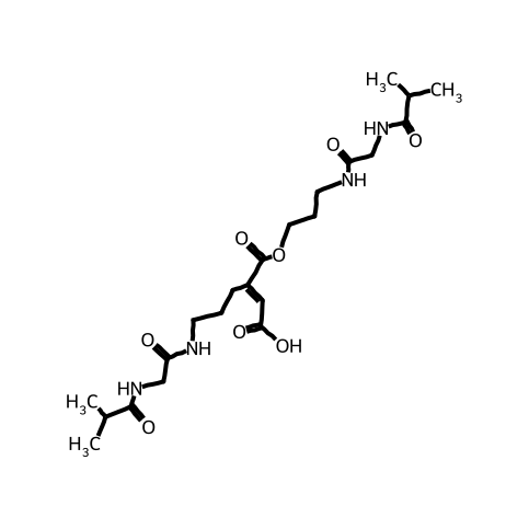 CC(C)C(=O)NCC(=O)NCCCOC(=O)C(=CC(=O)O)CCCNC(=O)CNC(=O)C(C)C